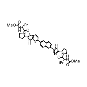 COC(=O)N[C@H](C(=O)N1CCC[C@H]1c1ncc(-c2ccc3cc(-c4ccc5nc([C@@H]6CCCN6C(=O)[C@@H](NC(=O)OC)C(C)C)[nH]c5n4)ccc3c2)[nH]1)C(C)C